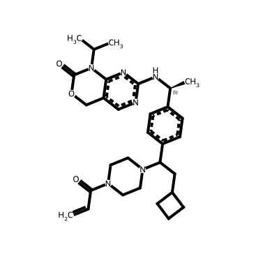 C=CC(=O)N1CCN(C(CC2CCC2)c2ccc([C@H](C)Nc3ncc4c(n3)N(C(C)C)C(=O)OC4)cc2)CC1